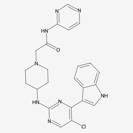 O=C(CN1CCC(Nc2ncc(Cl)c(-c3c[nH]c4ccccc34)n2)CC1)Nc1ccncn1